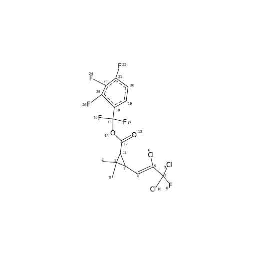 CC1(C)C(C=C(Cl)C(F)(Cl)Cl)C1C(=O)OC(F)(F)c1ccc(F)c(F)c1F